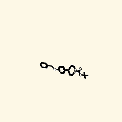 CC(C)(C)OC(=O)N1CCC(c2ccc(OCc3ccccc3)cc2)CC1